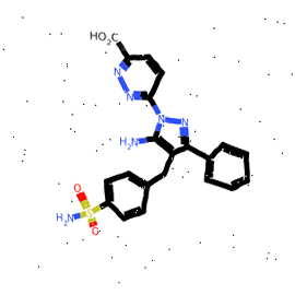 Nc1c(Cc2ccc(S(N)(=O)=O)cc2)c(-c2ccccc2)nn1-c1ccc(C(=O)O)nn1